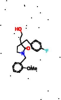 COc1ccccc1CN1CCC(CCO)(Cc2ccc(F)cc2)C1=O